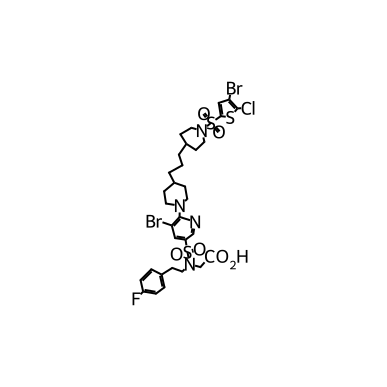 O=C(O)CN(CCc1ccc(F)cc1)S(=O)(=O)c1cnc(N2CCC(CCCC3CCN(S(=O)(=O)c4cc(Br)c(Cl)s4)CC3)CC2)c(Br)c1